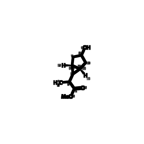 COC(=O)C(C)C1[C@H]2CC(O)C[C@@H]12